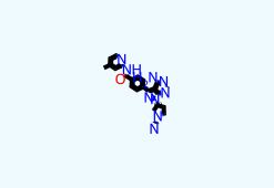 Cc1ccnc(NC(=O)c2ccc(-c3nn([C@@H]4CCN(C#N)C4)c4ncnc(N)c34)cc2)c1